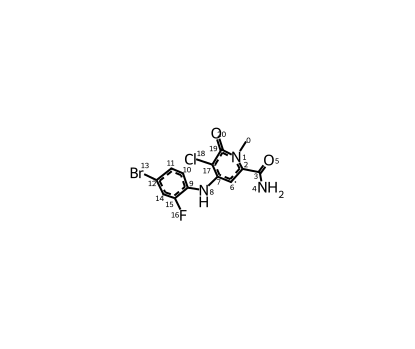 Cn1c(C(N)=O)[c]c(Nc2ccc(Br)cc2F)c(Cl)c1=O